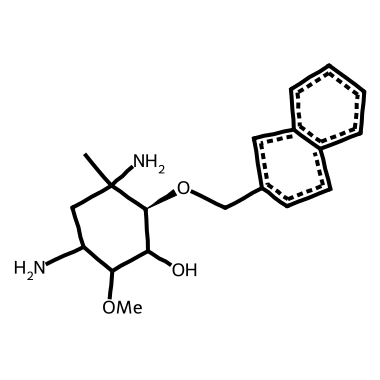 COC1C(N)CC(C)(N)[C@@H](OCc2ccc3ccccc3c2)C1O